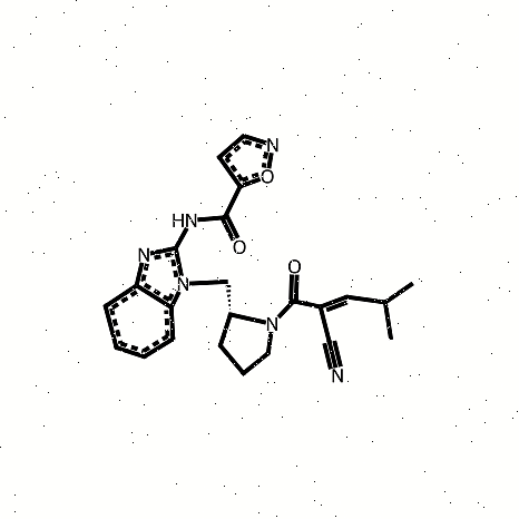 CC(C)C=C(C#N)C(=O)N1CCC[C@@H]1Cn1c(NC(=O)c2ccno2)nc2ccccc21